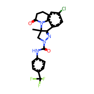 CC1(N2CCCCC2=O)CN(C(=O)Nc2ccc(C(F)(F)F)cc2)N=C1c1ccc(Cl)cc1